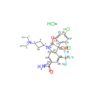 CCN(CC)C1CC(N2C(=O)C(O)(c3ccc(Cl)cc3Cl)c3c2cc(C(N)=O)cc3C(F)(F)F)C1.Cl